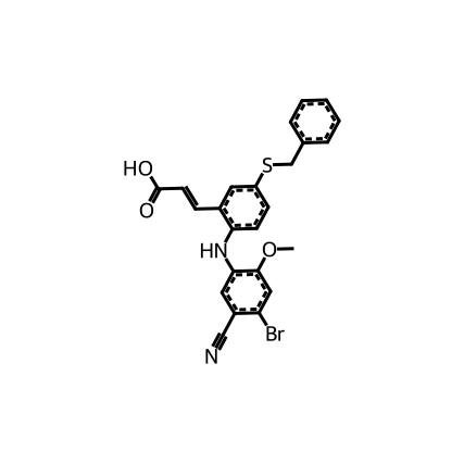 COc1cc(Br)c(C#N)cc1Nc1ccc(SCc2ccccc2)cc1C=CC(=O)O